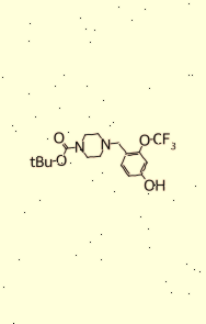 CC(C)(C)OC(=O)N1CCN(Cc2ccc(O)cc2OC(F)(F)F)CC1